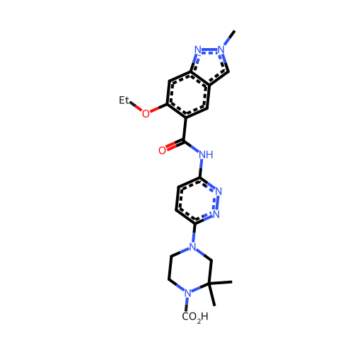 CCOc1cc2nn(C)cc2cc1C(=O)Nc1ccc(N2CCN(C(=O)O)C(C)(C)C2)nn1